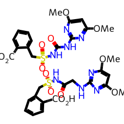 COc1cc(OC)nc(NC(=O)NS(=O)(=O)Cc2ccccc2C(=O)O)n1.COc1cc(OC)nc(NCC(=O)NS(=O)(=O)Cc2ccccc2C(=O)O)n1